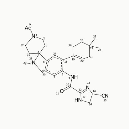 CC(=O)N1CCC(c2ccc(NC(=O)C3=NC(C#N)CN3)c(C3=CCC(C)(C)CC3)c2)(N(C)C)CC1